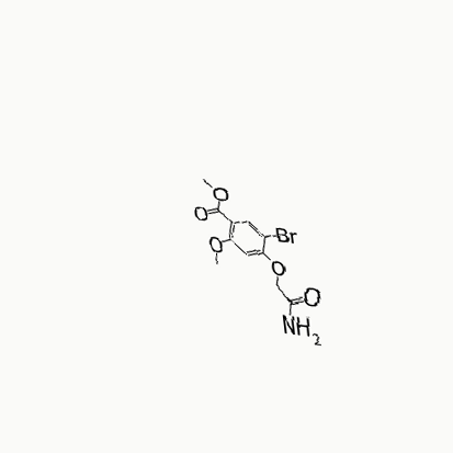 COC(=O)c1cc(Br)c(OCC(N)=O)cc1OC